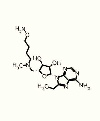 CCc1nc2c(N)ncnc2n1[C@@H]1O[C@H](CN(C)CCCCON)[C@@H](O)[C@H]1O